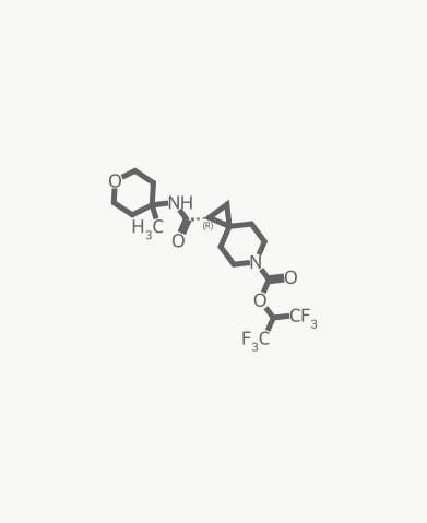 CC1(NC(=O)[C@@H]2CC23CCN(C(=O)OC(C(F)(F)F)C(F)(F)F)CC3)CCOCC1